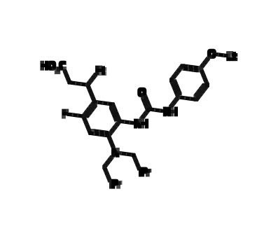 CCOc1ccc(NC(=O)Nc2cc(C(CC)CC(=O)O)c(F)cc2N(CC(C)C)CC(C)C)cc1